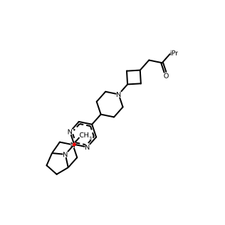 CC(C)C(=O)CC1CC(N2CCC(c3cnc(N4C5CCC4CN(C)C5)nc3)CC2)C1